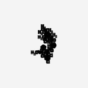 CCCC(=O)Oc1c(-n2cccn2)c(NC(=O)c2cccc(NC(=O)C(CC)Oc3ccc(C(C)(C)CC)cc3C(C)(C)CC)c2)nn1-c1c(Cl)cc(Cl)cc1Cl